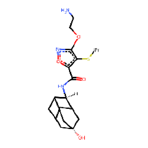 CC(C)Sc1c(OCCN)noc1C(=O)N[C@H]1C2CC3CC1C[C@](O)(C3)C2